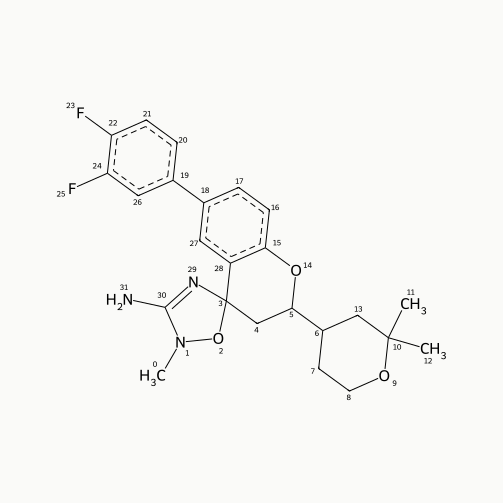 CN1OC2(CC(C3CCOC(C)(C)C3)Oc3ccc(-c4ccc(F)c(F)c4)cc32)N=C1N